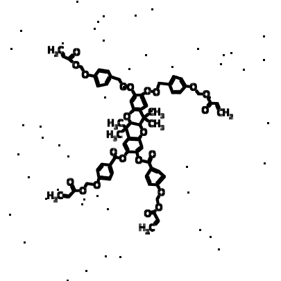 C=CC(=O)OCOc1ccc(COOc2cc3c(cc2OOCc2ccc(OCOC(=O)C=C)cc2)C(C)(C)C2Oc4cc(OC(=O)c5ccc(OCOC(=O)C=C)cc5)c(OC(=O)c5ccc(OCOC(=O)C=C)cc5)cc4C(C)(C)C2O3)cc1